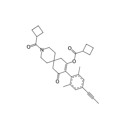 CC#Cc1cc(C)c(C2=C(OC(=O)C3CCC3)CC3(CCN(C(=O)C4CCC4)CC3)CC2=O)c(C)c1